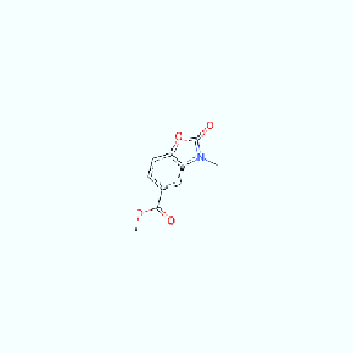 COC(=O)c1ccc2oc(=O)n(C)c2c1